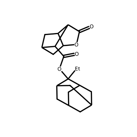 CCC1(OC(=O)C2C3CC4OC(=O)C2C4C3)C2CC3CC(C2)CC1C3